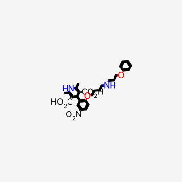 CC1=C(C(=O)O)C(c2cc([N+](=O)[O-])ccc2OCCCCNCCCOc2ccccc2)C(C(=O)O)=C(C)N1